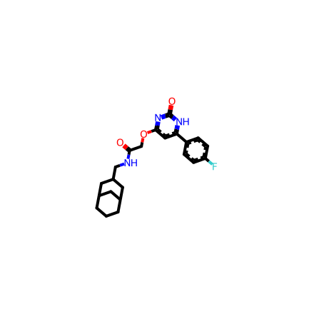 O=C(COc1cc(-c2ccc(F)cc2)[nH]c(=O)n1)NCC1CC2CCCC(C2)C1